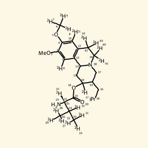 [2H]c1c(OC)c(OC([2H])([2H])[2H])c([2H])c2c1C1CC([2H])(OC(=O)[C@@]([2H])(N)C([2H])(C([2H])([2H])[2H])C([2H])([2H])[2H])C(CC(C)C)CN1C([2H])([2H])C2([2H])[2H]